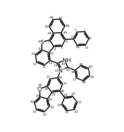 c1ccc(-c2cc3c(sc4cccc(C5=[N+](c6cc(-c7ccccc7)c7c(c6)oc6ccccc67)C(c6ccccc6)N5)c43)c3ccccc23)cc1